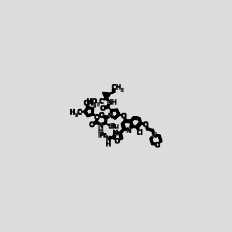 C=C[C@@H]1C[C@]1(NC(=O)[C@@H]1C[C@@H](Oc2cc(-c3coc(NC(C)C)n3)nc3c(Cl)c(OCCN4CCOCC4)ccc23)CN1C(=O)[C@@H](NC(=O)O[C@@H]1CC(C)[C@H](C)C1)C(C)(C)C)C(=O)O